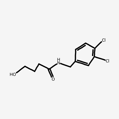 O=C(CCCO)NCc1ccc(Cl)c(Cl)c1